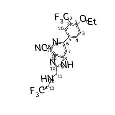 CCOc1ccc(-c2cc3[nH]c(CNCC(F)(F)F)nc3c(C#N)n2)cc1C(F)(F)F